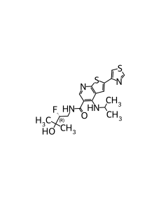 CC(C)Nc1c(C(=O)NC[C@@H](F)C(C)(C)O)cnc2sc(-c3cscn3)cc12